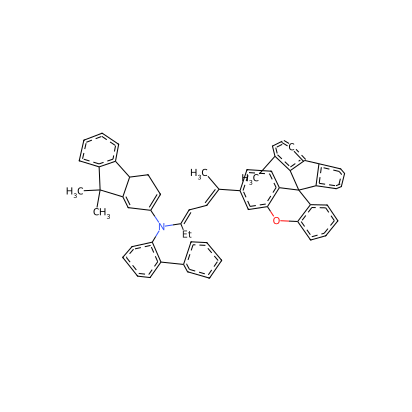 CC/C(=C\C=C(/C)c1ccc2c(c1)Oc1ccccc1C21c2ccccc2-c2cccc(C)c21)N(C1=CCC2C(=C1)C(C)(C)c1ccccc12)c1ccccc1-c1ccccc1